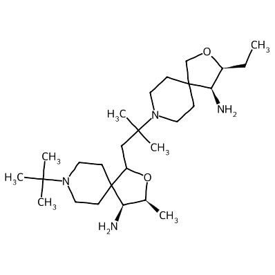 CC[C@@H]1OCC2(CCN(C(C)(C)CC3O[C@@H](C)[C@@H](N)C34CCN(C(C)(C)C)CC4)CC2)[C@@H]1N